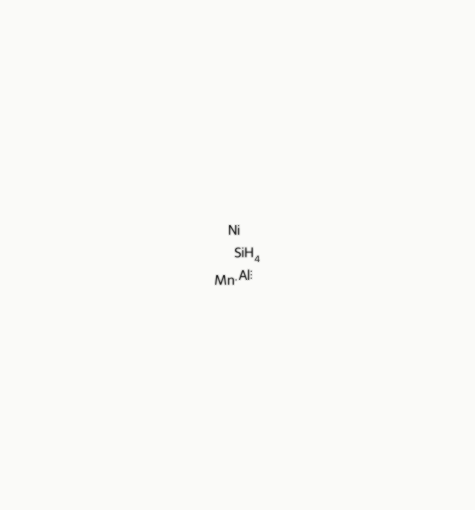 [Al].[Mn].[Ni].[SiH4]